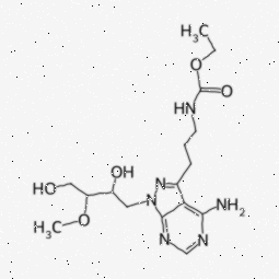 CCOC(=O)NCCCc1nn(CC(O)C(CO)OC)c2ncnc(N)c12